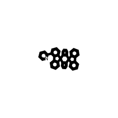 c1ccc(-c2cccc3c2-c2ccccc2C32c3ccccc3C3(c4ccccc4-c4ccccc43)c3ccccc32)nc1